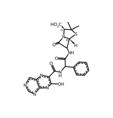 CC1(C)S[C@@H]2C(NC(=O)C(NC(=O)c3nc4cncnc4nc3O)c3ccccc3)C(=O)N2[C@H]1C(=O)O